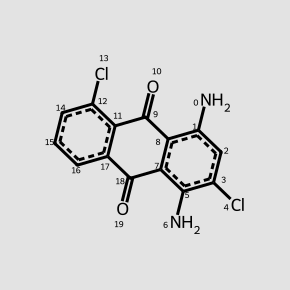 Nc1cc(Cl)c(N)c2c1C(=O)c1c(Cl)cccc1C2=O